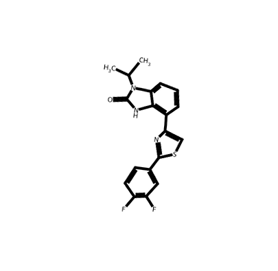 CC(C)n1c(=O)[nH]c2c(-c3csc(-c4ccc(F)c(F)c4)n3)cccc21